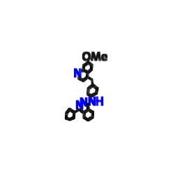 COc1ccc2c(Cc3ccc(Nc4nnc(-c5ccccc5)c5ccccc45)cc3)ccnc2c1